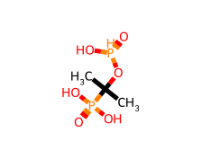 CC(C)(O[PH](=O)O)P(=O)(O)O